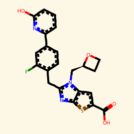 O=C(O)c1cc2c(nc(Cc3ccc(-c4cccc(O)n4)cc3F)n2C[C@@H]2CCO2)s1